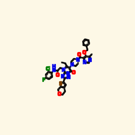 CCc1c(N2CCN(C(=O)c3ncnc(C)c3OCc3ccccc3)CC2)c(=O)n2nc(-c3cc4c(s3)COCC4)nc2n1CC(=O)Nc1ccc(F)cc1Cl